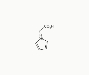 O=C(O)C[SeH]1C=CC=C1